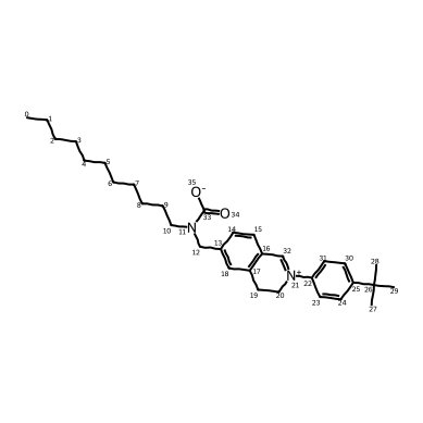 CCCCCCCCCCCN(Cc1ccc2c(c1)CC[N+](c1ccc(C(C)(C)C)cc1)=C2)C(=O)[O-]